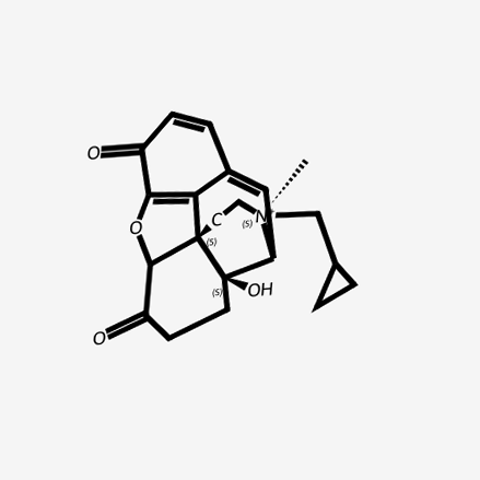 C[N@@+]1(CC2CC2)CC[C@]23C4=C5OC2C(=O)CC[C@@]3(O)C1C=C4C=CC5=O